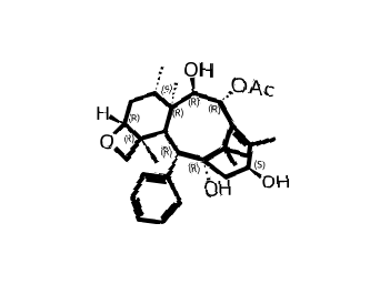 CC(=O)O[C@@H]1C2=C(C)[C@@H](O)C[C@@](O)([C@@H](c3ccccc3)C3[C@@](C)([C@@H](C)C[C@H]4OC[C@@]34C)[C@H]1O)C2(C)C